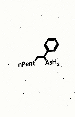 CCCCCCC([AsH2])c1ccccc1